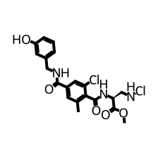 COC(=O)[C@H](CNCl)NC(=O)c1c(C)cc(C(=O)NCc2cccc(O)c2)cc1Cl